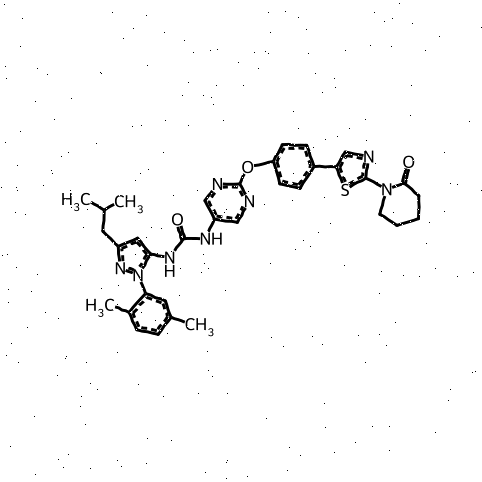 Cc1ccc(C)c(-n2nc(CC(C)C)cc2NC(=O)Nc2cnc(Oc3ccc(-c4cnc(N5CCCCC5=O)s4)cc3)nc2)c1